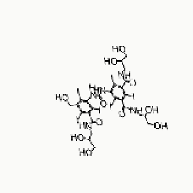 O=C(Nc1c(I)c(CO)c(I)c(C(=O)NCC(O)CO)c1I)Nc1c(I)c(C(=O)NCC(O)CO)c(I)c(C(=O)NCC(O)CO)c1I